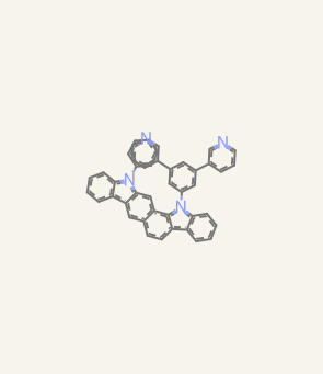 c1ccc(-n2c3ccccc3c3cc4ccc5c6ccccc6n(-c6cc(-c7cccnc7)cc(-c7cccnc7)c6)c5c4cc32)cc1